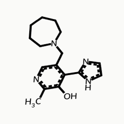 Cc1ncc(CN2CCCCCC2)c(-c2ncc[nH]2)c1O